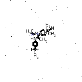 C=C(Nc1ccc(C(C)(F)F)cc1)/C(=N\C=C/C)N1CCN(C(C)(C)C#N)CC1